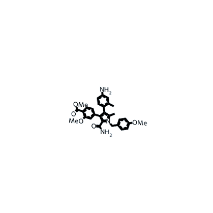 COC(=O)c1ccc(-c2c(-c3ccc(N)cc3C)c(C)n(Cc3ccc(OC)cc3)c2C(N)=O)cc1OC